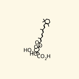 CC1=C(/C=C/C(C)=C/C=C/C(C)=C/C(=O)OC(=O)CC(O)(CC(=O)O)C(=O)O)C(C)(C)CCC1